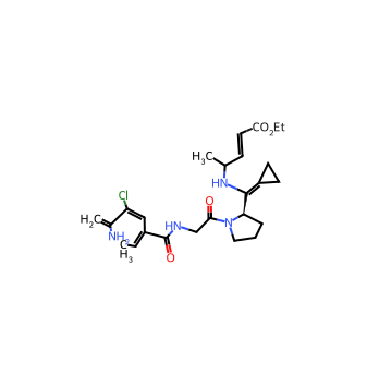 C=C(N)/C(Cl)=C\C(=C/C)C(=O)NCC(=O)N1CCC[C@@H]1C(NC(C)/C=C/C(=O)OCC)=C1CC1